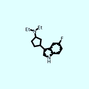 CCN(CC)C1CCC(c2c[nH]c3ccc(F)cc23)C1